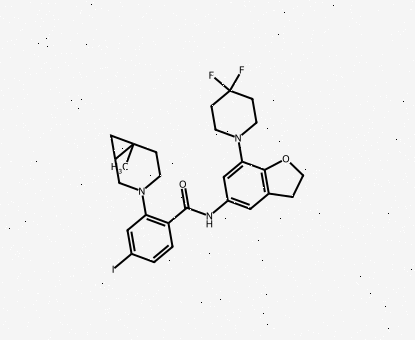 CC12CCN(c3cc(I)ccc3C(=O)Nc3cc4c(c(N5CCC(F)(F)CC5)c3)OCC4)CC1C2